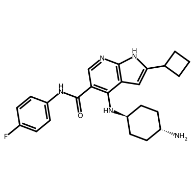 N[C@H]1CC[C@H](Nc2c(C(=O)Nc3ccc(F)cc3)cnc3[nH]c(C4CCC4)cc23)CC1